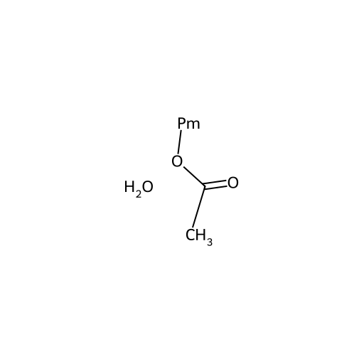 CC(=O)[O][Pm].O